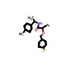 CC(NC(=O)C(OCc1ccc(F)cc1)C(C)C)c1ccc(C#N)cc1